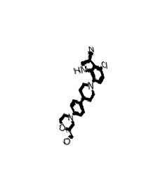 N#Cc1c[nH]c2c(N3CCC(c4ccc(N5CCO[C@H](C=O)C5)cc4)CC3)ccc(Cl)c12